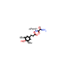 CCCCCN(OC(=O)CCc1cc(C(C)(C)C)c(O)c(C(C)(C)C)c1)C(=O)C(N)=O